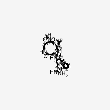 CC(=O)N[C@H]1CCCCNC(=O)CC[C@@H](C(=O)NC(CCCNC(=N)N)C(=O)c2nc3ccccc3s2)NC(=O)[C@H](CC(C)C)NC1=O